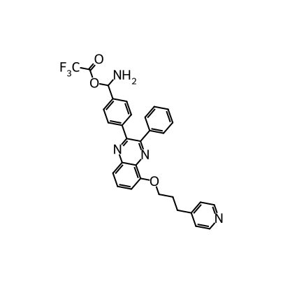 NC(OC(=O)C(F)(F)F)c1ccc(-c2nc3cccc(OCCCc4ccncc4)c3nc2-c2ccccc2)cc1